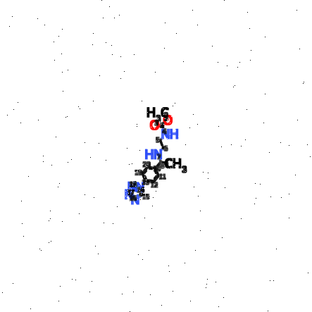 COC(=O)NCCNC(C)c1ccc(-n2cnnn2)cc1